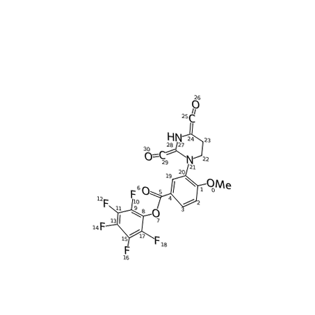 COc1ccc(C(=O)Oc2c(F)c(F)c(F)c(F)c2F)cc1N1CCC(=C=O)NC1=C=O